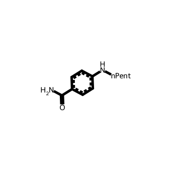 CCCCCNc1ccc(C(N)=O)cc1